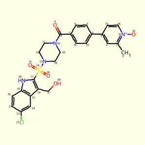 Cc1cc(-c2ccc(C(=O)N3CCN(S(=O)(=O)c4[nH]c5ccc(Cl)cc5c4CO)CC3)cc2)cc[n+]1[O-]